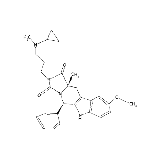 COc1ccc2[nH]c3c(c2c1)C[C@@]1(C)C(=O)N(CCCN(C)C2CC2)C(=O)N1[C@@H]3c1ccccc1